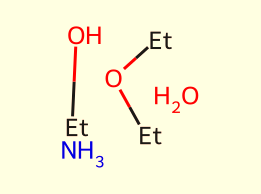 CCO.CCOCC.N.O